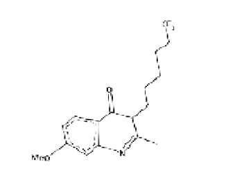 COc1ccc2c(c1)N=C(C)C(CCCCCC(F)(F)F)C2=O